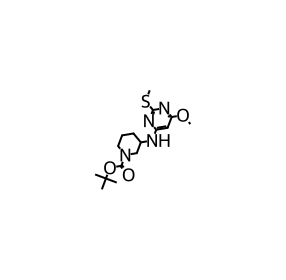 COc1cc(NC2CCCN(C(=O)OC(C)(C)C)C2)nc(SC)n1